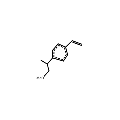 [CH]=Cc1ccc(C(C)COC)cc1